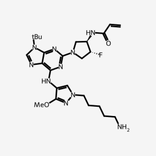 C=CC(=O)N[C@@H]1CN(c2nc(Nc3cn(CCCCCN)nc3OC)c3ncn(C(C)(C)C)c3n2)C[C@H]1F